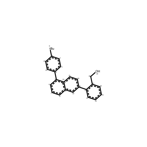 CC(C)(C)c1ccc(-c2cccc3cc(-c4ccccc4CO)ccc23)cc1